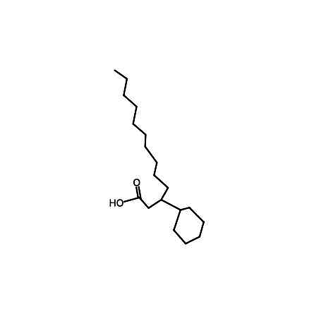 CCCCCCCCCCC(CC(=O)O)C1CCCCC1